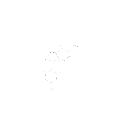 C=C(O)c1ccc2c(c1)nnn2-c1ccc(O)cc1